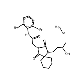 CC(N)=O.CC(O)CCN1C(=O)N(CC(=O)Nc2c(C(C)C)cccc2C(C)C)C(=O)C12CCCCC2